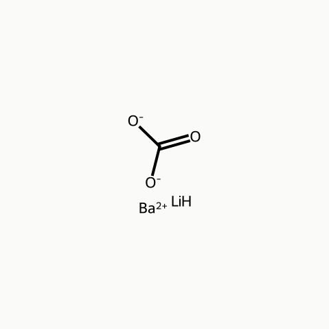 O=C([O-])[O-].[Ba+2].[LiH]